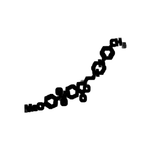 COc1ccc(S(=O)(=O)N2CCC3(CC2)C[C@@H](CCN2CCN(c4ccc(C)cc4)CC2)OC3=O)cc1